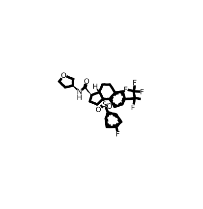 CC(F)(c1ccc2c(c1)CC[C@H]1[C@H](C(=O)N[C@H]3CCOC3)CC[C@@]21S(=O)(=O)c1ccc(F)cc1)C(F)(F)F